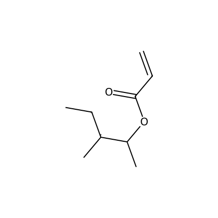 C=CC(=O)OC(C)[C](C)CC